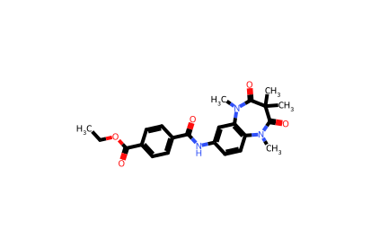 CCOC(=O)c1ccc(C(=O)Nc2ccc3c(c2)N(C)C(=O)C(C)(C)C(=O)N3C)cc1